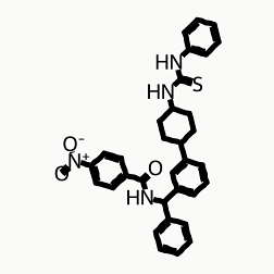 O=C(NC(c1ccccc1)c1cccc(C2CCC(NC(=S)Nc3ccccc3)CC2)c1)c1ccc([N+](=O)[O-])cc1